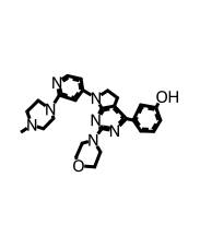 CN1CCN(c2cc(N3CCc4c(-c5cccc(O)c5)nc(N5CCOCC5)nc43)ccn2)CC1